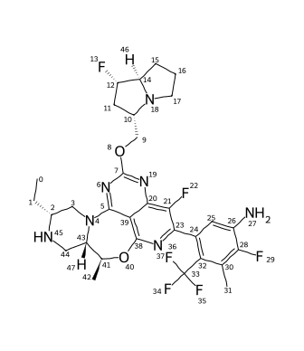 CC[C@@H]1CN2c3nc(OC[C@@H]4C[C@H](F)[C@H]5CCCN45)nc4c(F)c(-c5cc(N)c(F)c(C)c5C(F)(F)F)nc(c34)O[C@@H](C)[C@@H]2CN1